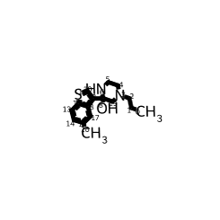 CCCN1CCNC(O)(c2csc3ccc(C)cc23)C1